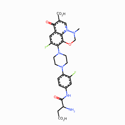 CN1COc2c(N3CCN(c4ccc(NC(=O)C(N)CC(=O)O)cc4F)CC3)c(F)cc3c(=O)c(C(=O)O)cn1c23